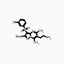 CNc1nn2c(C)c(CCN)c(C)nc2c1S(=O)(=O)c1cccc(Cl)c1